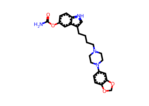 NC(=O)Oc1ccc2[nH]cc(CCCCN3CCN(c4ccc5c(c4)OCO5)CC3)c2c1